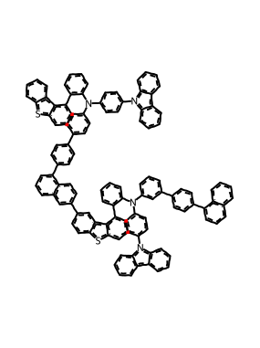 c1cc(-c2ccc(-c3cccc4ccccc34)cc2)cc(N(c2ccc(-n3c4ccccc4c4ccccc43)cc2)c2ccccc2-c2cccc3sc4ccc(-c5ccc6c(-c7ccc(-c8ccc(N(c9ccc(-n%10c%11ccccc%11c%11ccccc%11%10)cc9)c9ccccc9-c9cccc%10sc%11ccccc%11c9%10)cc8)cc7)cccc6c5)cc4c23)c1